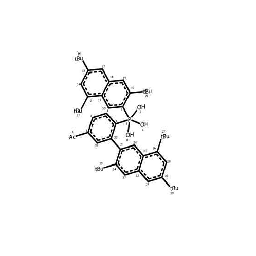 CC(=O)c1ccc(P(O)(O)(O)c2cc3c(C(C)(C)C)cc(C(C)(C)C)cc3cc2C(C)(C)C)c(-c2cc3c(C(C)(C)C)cc(C(C)(C)C)cc3cc2C(C)(C)C)c1